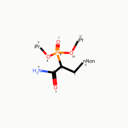 CCCCCCCCCCC(C(N)=O)P(=O)(OC(C)C)OC(C)C